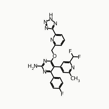 Cc1cc(-c2c(OCc3cccc(-c4nn[nH]n4)n3)nc(N)nc2-c2ccc(F)cc2)cc(C(F)F)n1